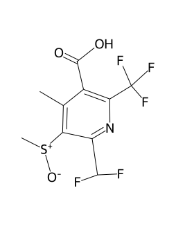 Cc1c(C(=O)O)c(C(F)(F)F)nc(C(F)F)c1[S+](C)[O-]